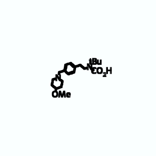 COC1CCN(Cc2ccc(CCN(C(=O)O)C(C)(C)C)cc2)CC1